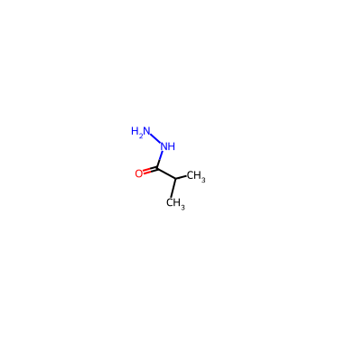 C[C](C)C(=O)NN